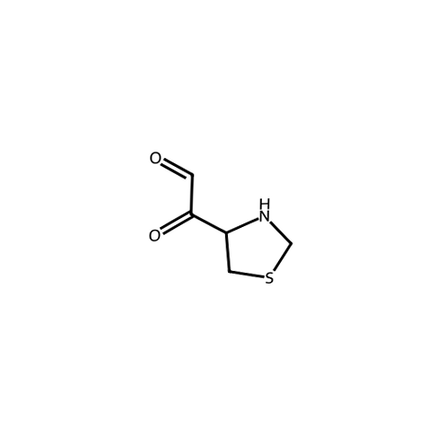 O=CC(=O)C1CSCN1